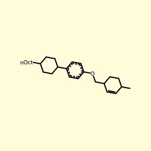 CCCCCCCCC1CCC(c2ccc(OCC3C=CC(C)CC3)cc2)CC1